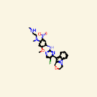 CNCCN(C)c1cc(OC)c(Nc2ncc(F)c(-c3c4n(c5ccccc35)CCOC4)n2)cc1[N+](=O)[O-]